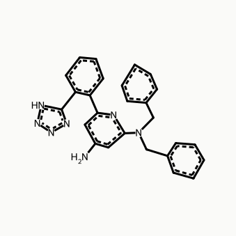 Nc1cc(-c2ccccc2-c2nnn[nH]2)nc(N(Cc2ccccc2)Cc2ccccc2)c1